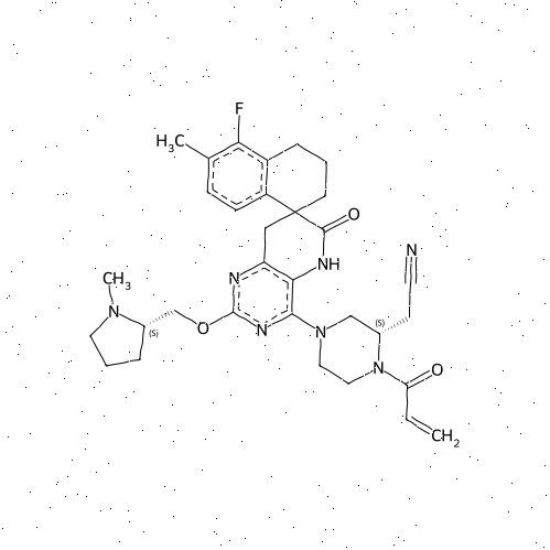 C=CC(=O)N1CCN(c2nc(OC[C@@H]3CCCN3C)nc3c2NC(=O)C2(CCCc4c2ccc(C)c4F)C3)C[C@@H]1CC#N